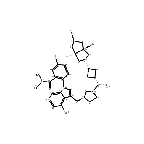 CC(=O)N1C[C@@H]2CN([C@H]3C[C@@H](C(C)N4CC[C@@H](Cc5cn(-c6ccc(F)cc6C(=O)N(C)C(C)C)c6cncc(C)c56)C4)C3)C[C@H]2C1